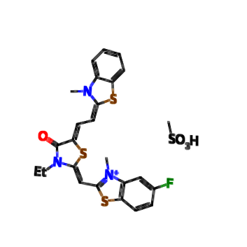 CCn1c(=Cc2sc3ccc(F)cc3[n+]2C)sc(=CC=C2Sc3ccccc3N2C)c1=O.CS(=O)(=O)O